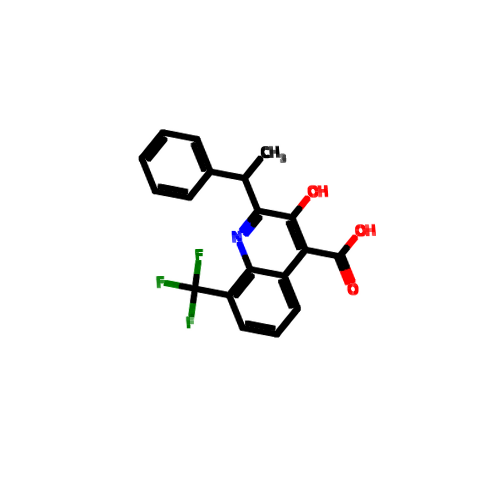 CC(c1ccccc1)c1nc2c(C(F)(F)F)cccc2c(C(=O)O)c1O